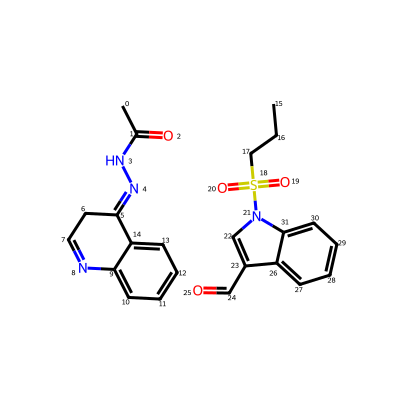 CC(=O)NN=C1CC=Nc2ccccc21.CCCS(=O)(=O)n1cc(C=O)c2ccccc21